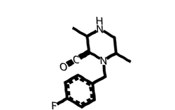 CC1NCC(C)N(Cc2ccc(F)cc2)C1=C=O